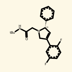 CC(C)(C)NC(=O)CN1CC(c2cc(F)ccc2F)=C[C@H]1c1ccccc1